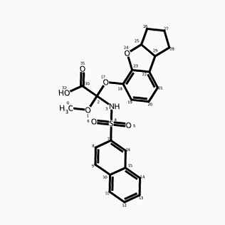 COC(NS(=O)(=O)c1ccc2ccccc2c1)(Oc1cccc2c1OC1CCCC21)C(=O)O